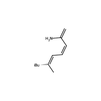 C=C(N)/C=C\C=C(/C)[C@@H](C)CC